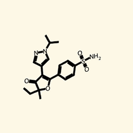 CCC1(C)OC(c2ccc(S(N)(=O)=O)cc2)=C(c2cnn(C(C)C)c2)C1=O